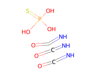 N=C=O.N=C=O.N=C=O.OP(O)(O)=S